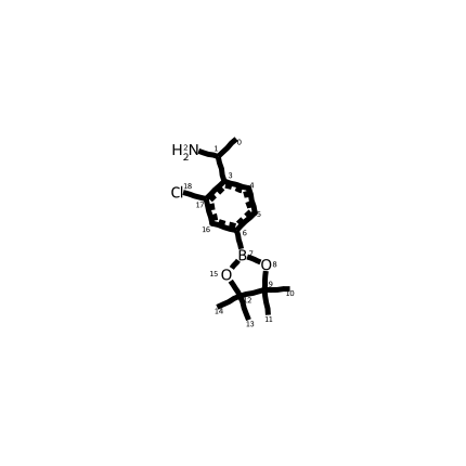 CC(N)c1ccc(B2OC(C)(C)C(C)(C)O2)cc1Cl